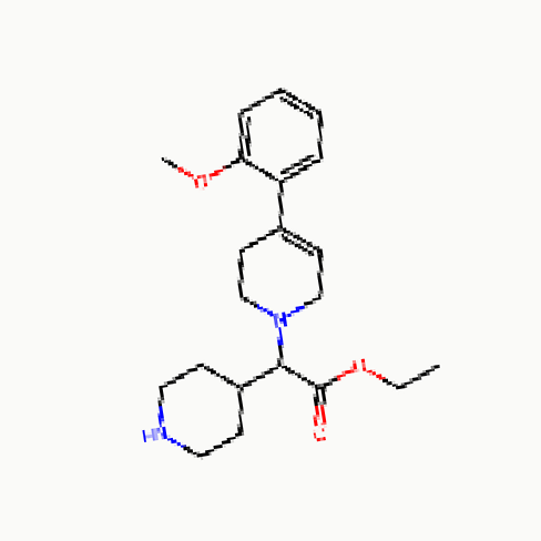 CCOC(=O)C(C1CCNCC1)N1CC=C(c2ccccc2OC)CC1